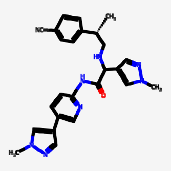 C[C@H](CNC(C(=O)Nc1ccc(-c2cnn(C)c2)cn1)c1cnn(C)c1)c1ccc(C#N)cc1